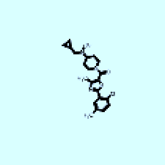 CCCN(CC1CC1)C1CCN(C(=O)c2sc(-c3cc(C(F)(F)F)ccc3Cl)nc2C)CC1